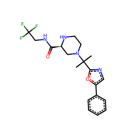 CC(C)(c1ncc(-c2ccccc2)o1)N1CCN[C@H](C(=O)NCC(F)(F)F)C1